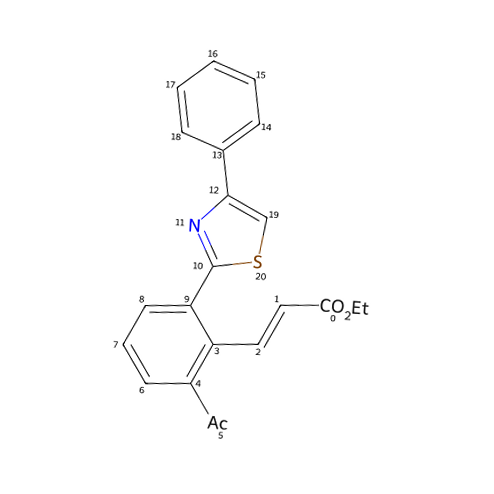 CCOC(=O)/C=C/c1c(C(C)=O)cccc1-c1nc(-c2ccccc2)cs1